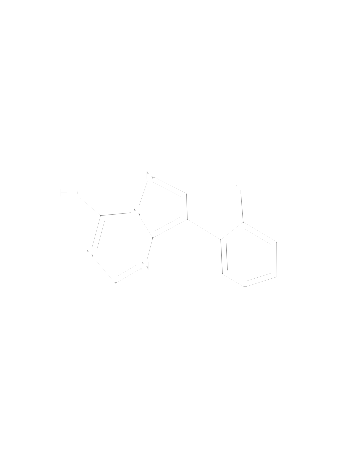 Oc1ccccc1-c1cnn2c(O)ncnc12